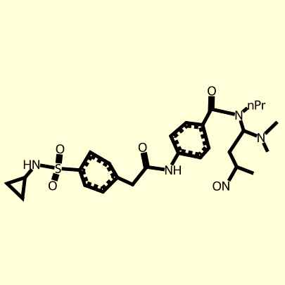 CCCN(C(=O)c1ccc(NC(=O)Cc2ccc(S(=O)(=O)NC3CC3)cc2)cc1)C(CC(C)N=O)N(C)C